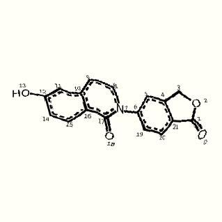 O=C1OCc2cc(-n3ccc4cc(O)ccc4c3=O)ccc21